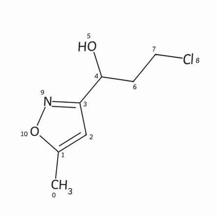 Cc1cc(C(O)CCCl)no1